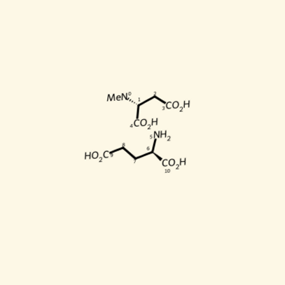 CN[C@H](CC(=O)O)C(=O)O.N[C@H](CCC(=O)O)C(=O)O